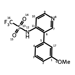 COc1cccc(-c2cnccc2NS(=O)(=O)C(F)(F)F)c1